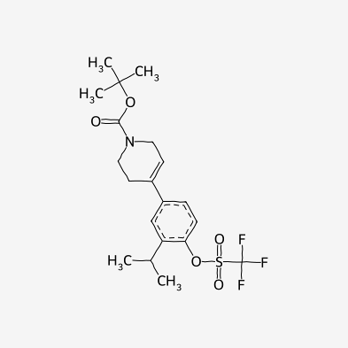 CC(C)c1cc(C2=CCN(C(=O)OC(C)(C)C)CC2)ccc1OS(=O)(=O)C(F)(F)F